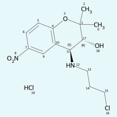 CC1(C)Oc2ccc([N+](=O)[O-])cc2[C@H](NCCCCl)[C@H]1O.Cl